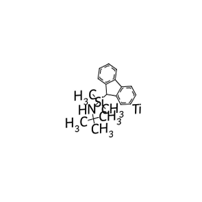 CC(C)(C)N[Si](C)(C)C1c2ccccc2-c2ccccc21.[Ti]